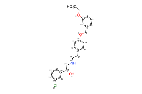 O=C(O)COc1cccc(COc2ccc(CCNC[C@H](O)c3cccc(Cl)c3)cc2)c1